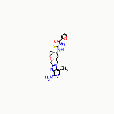 CCOCc1nc2c(N)ncc(C)c2n1CCCCNC(=S)NC(=O)c1ccco1